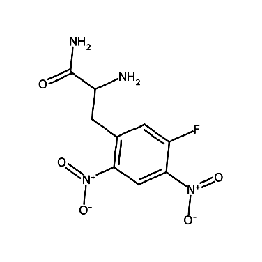 NC(=O)C(N)Cc1cc(F)c([N+](=O)[O-])cc1[N+](=O)[O-]